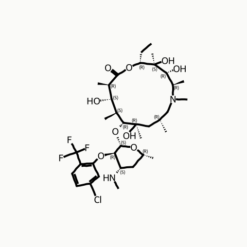 CC[C@H]1OC(=O)[C@H](C)[C@@H](O)[C@H](C)[C@@H](O[C@@H]2O[C@H](C)C[C@H](NC)[C@H]2Oc2cc(Cl)ccc2C(F)(F)F)[C@](C)(O)C[C@@H](C)CN(C)[C@H](C)[C@@H](O)[C@]1(C)O